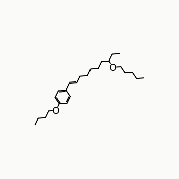 CCCCCOC(CC)CCCCC/C=C/c1ccc(OCCCC)cc1